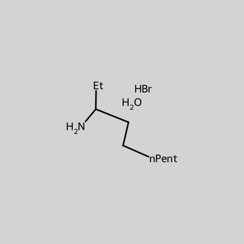 Br.CCCCCCCC(N)CC.O